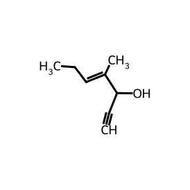 C#CC(O)C(C)=CCC